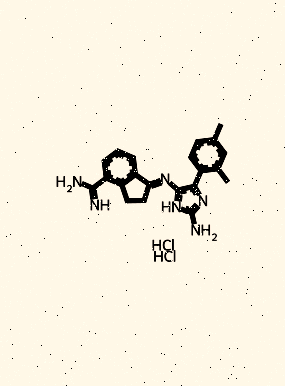 Cc1ccc(-c2nc(N)[nH]c2N=C2CCc3c(C(=N)N)cccc32)c(C)c1.Cl.Cl